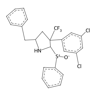 [O-][S+](c1ccccc1)C1NC(Cc2ccccc2)CC1(c1cc(Cl)cc(Cl)c1)C(F)(F)F